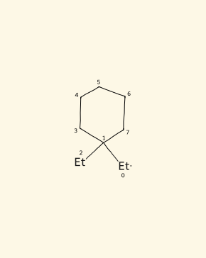 C[CH]C1(CC)CCCCC1